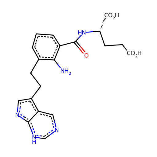 Nc1c(CCc2cnc3[nH]cncc2-3)cccc1C(=O)N[C@@H](CCC(=O)O)C(=O)O